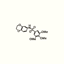 COc1cc(S(=O)(=O)Nc2ccc3c(c2)OCCO3)cc(OC)c1OC